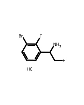 Cl.NC(CF)c1cccc(Br)c1F